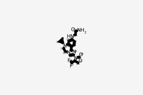 NC(=O)CNc1ccc2c(c1)N(C1CC1)CCn1cc(N3C(=O)OCC3C(F)F)nc1-2